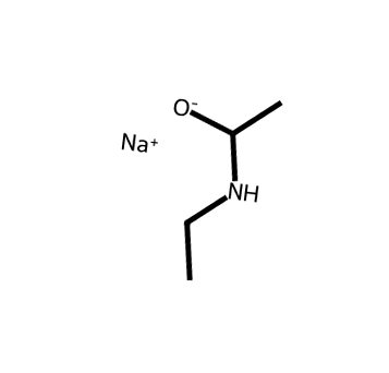 CCNC(C)[O-].[Na+]